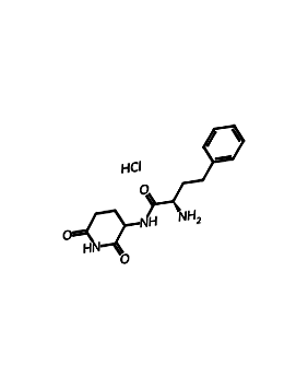 Cl.N[C@H](CCc1ccccc1)C(=O)NC1CCC(=O)NC1=O